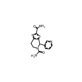 NC(=O)c1nc2c(s1)C(c1cccnc1)N(C(N)=O)CC2